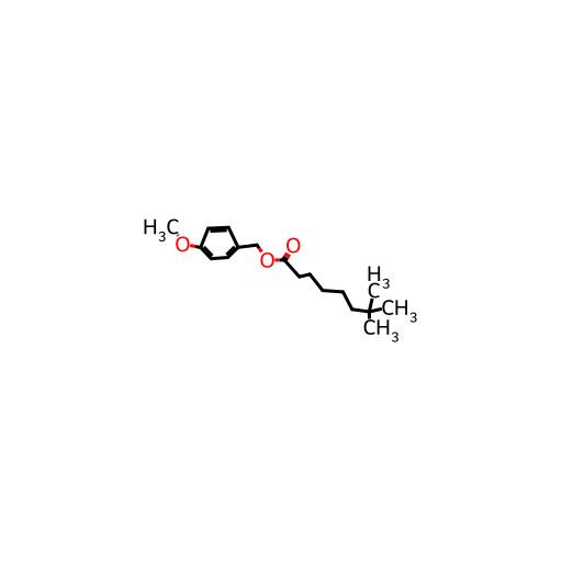 COc1ccc(COC(=O)CCCCCC(C)(C)C)cc1